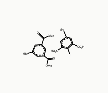 CC(C)(C)c1cc(C(=O)O)c(I)c(C(=O)O)c1.COC(=O)c1cc(C(=O)OC)cc(C(C)(C)C)c1